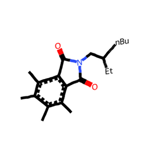 CCCCC(CC)CN1C(=O)c2c(C)c(C)c(C)c(C)c2C1=O